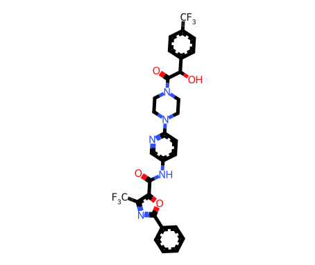 O=C(Nc1ccc(N2CCN(C(=O)C(O)c3ccc(C(F)(F)F)cc3)CC2)nc1)c1oc(-c2ccccc2)nc1C(F)(F)F